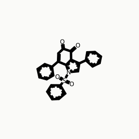 O=C1C=C(c2ccccc2)c2c(c(-c3ccccc3)cn2S(=O)(=O)c2ccccc2)C1=O